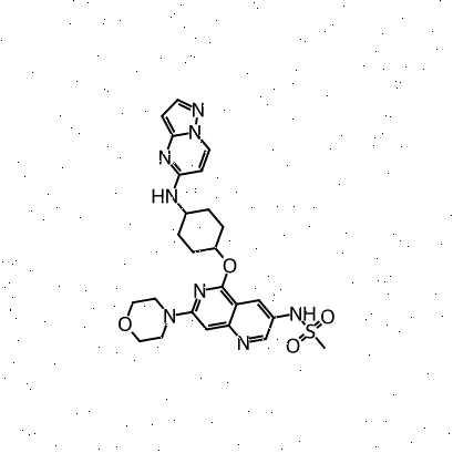 CS(=O)(=O)Nc1cnc2cc(N3CCOCC3)nc(OC3CCC(Nc4ccn5nccc5n4)CC3)c2c1